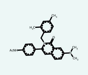 CC(=O)Nc1ccc(-c2cc3ccc(N(C)C)cc3c(=O)n2Cc2ccc(C)cc2C)cc1